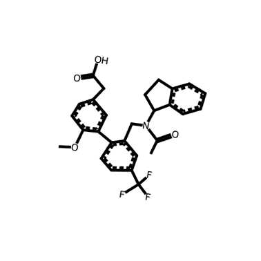 COc1ccc(CC(=O)O)cc1-c1ccc(C(F)(F)F)cc1CN(C(C)=O)C1CCc2ccccc21